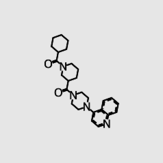 O=C(C1CCCN(C(=O)C2CCCCC2)C1)N1CCN(c2ccnc3ccccc23)CC1